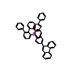 c1ccc(-c2ccc(N(c3ccc(-c4cc5ccccc5c5ccccc45)cc3)c3cccc(-c4ccccc4)c3-c3ccccc3-c3ccccc3)cc2)cc1